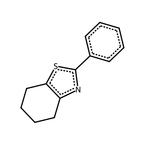 c1ccc(-c2nc3c(s2)CCCC3)cc1